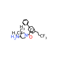 CC1(C)CN(C(=O)C23CC4CC(c5ccccc5)(CC2C4CCC(F)(F)F)C3)CC[C@@H]1N